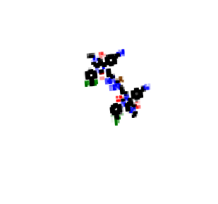 CCN1CC2=C(C1=O)[C@@H](c1ccc(C#N)cc1)N(CCCNC(=S)NCCCN1C(=O)N(c3cccc(C(F)(F)F)c3)C3=C(C(=O)N(CC)C3)[C@H]1c1ccc(C#N)cc1)C(=O)N2c1cccc(C(F)(F)F)c1